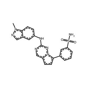 Cn1ncc2cc(Nc3ncc4ccc(-c5cccc(S(N)(=O)=O)c5)n4n3)ccc21